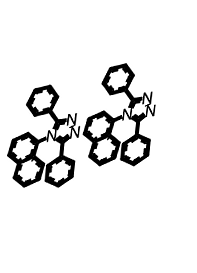 c1ccc(-c2nnc(-c3ccccc3)n2-c2cccc3ccccc23)cc1.c1ccc(-c2nnc(-c3ccccc3)n2-c2cccc3ccccc23)cc1